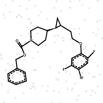 O=C(OCc1ccccc1)N1CCC([C@H]2CC2CCOc2cc(F)c(Br)cc2F)CC1